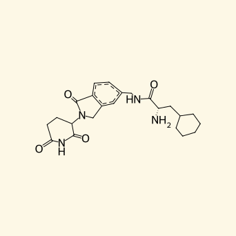 N[C@@H](CC1CCCCC1)C(=O)NCc1ccc2c(c1)CN(C1CCC(=O)NC1=O)C2=O